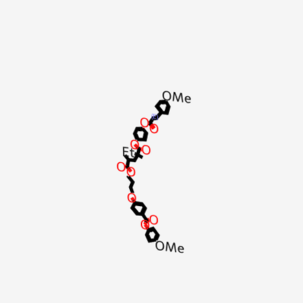 CCC(C)(CC(C)C(=O)OCCCCOc1ccc(C(=O)Oc2ccc(OC)cc2)cc1)C(=O)Oc1ccc(OC(=O)/C=C/c2ccc(OC)cc2)cc1